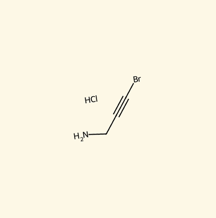 Cl.NCC#CBr